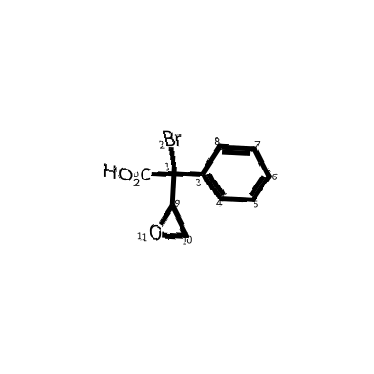 O=C(O)C(Br)(c1ccccc1)C1CO1